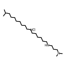 CC(C)CCCCCCCCCCCCCCCNCCCN(C)C.Cl